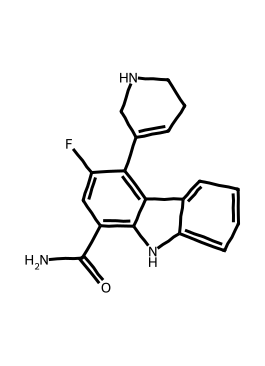 NC(=O)c1cc(F)c(C2=CCCNC2)c2c1[nH]c1ccccc12